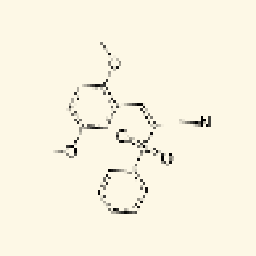 COc1ccc(OC)c(C=C(C#N)S(=O)(=O)c2ccccc2)c1